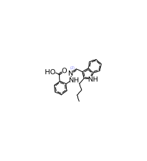 CCCCc1[nH]c2ccccc2c1/C=N\Nc1ccccc1C(=O)O